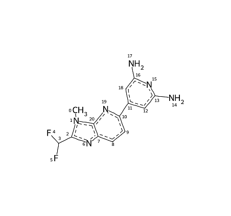 Cn1c(C(F)F)nc2ccc(-c3cc(N)nc(N)c3)nc21